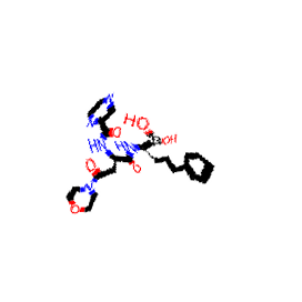 O=C(N[C@H](CC(=O)N1CCOCC1)C(=O)N[C@@H](CCCc1ccccc1)B(O)O)c1cnccn1